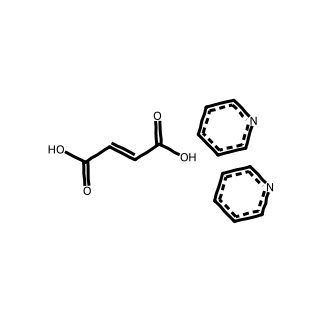 O=C(O)/C=C/C(=O)O.c1ccncc1.c1ccncc1